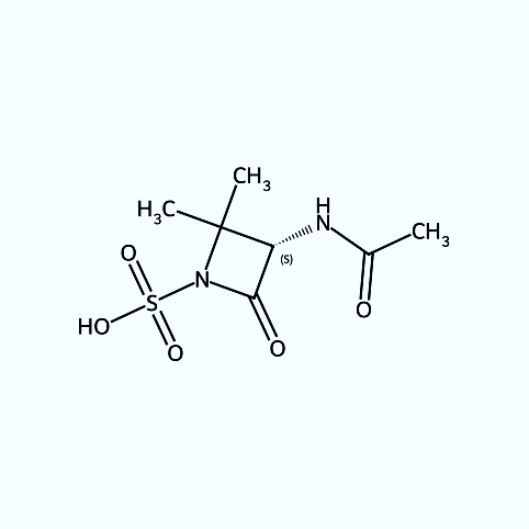 CC(=O)N[C@@H]1C(=O)N(S(=O)(=O)O)C1(C)C